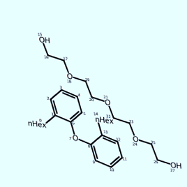 CCCCCCc1ccccc1Oc1ccccc1CCCCCC.OCCOCCOCCOCCO